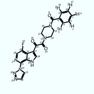 [2H]c1c([2H])c([2H])c(C(=O)N2CCN(C(=O)C(=O)c3c[nH]c4c(-n5ccnn5)ncc(F)c34)CC2)c([2H])c1[2H]